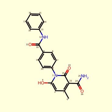 Cc1cc(O)n(-c2ccc(C(=O)Nc3ccccc3)cc2)c(=O)c1C(N)=O